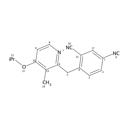 [C-]#[N+]c1ccc(Cc2nccc(OC(C)C)c2C)c(C#N)c1